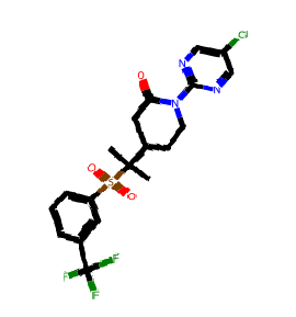 CC(C)(C1CCN(c2ncc(Cl)cn2)C(=O)C1)S(=O)(=O)c1cccc(C(F)(F)F)c1